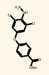 COC(=O)c1ccc(Oc2cc(Cl)c(NN)c(Cl)c2)cc1